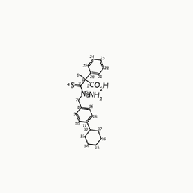 CC(C(=O)O)(C(=S)N(N)Cc1ccc(C2CCCCC2)cc1)c1ccccc1